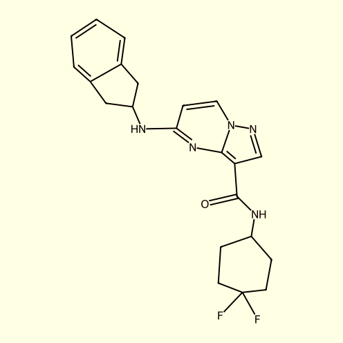 O=C(NC1CCC(F)(F)CC1)c1cnn2ccc(NC3Cc4ccccc4C3)nc12